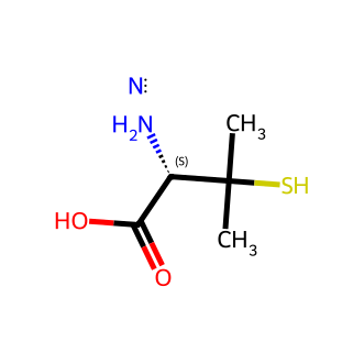 CC(C)(S)[C@@H](N)C(=O)O.[N]